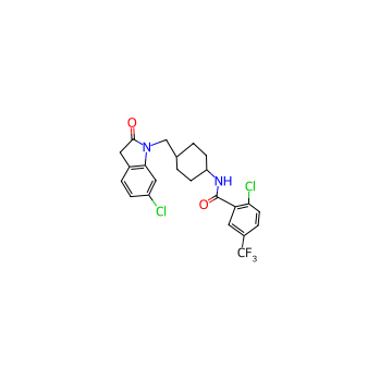 O=C(NC1CCC(CN2C(=O)Cc3ccc(Cl)cc32)CC1)c1cc(C(F)(F)F)ccc1Cl